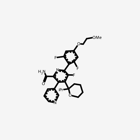 COCCOc1cc(F)c(-c2nc(C(N)=O)c(-c3cccnc3)c(C3(C(C)C)CCCCO3)c2F)c(F)c1